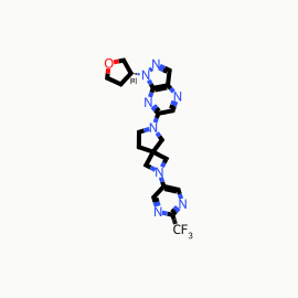 FC(F)(F)c1ncc(N2CC3(CCN(c4cnc5cnn([C@@H]6CCOC6)c5n4)C3)C2)cn1